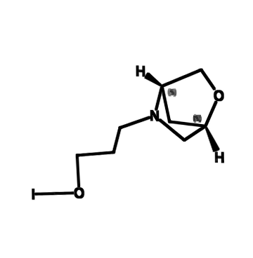 IOCCCN1C[C@@H]2C[C@H]1CO2